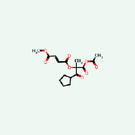 COC(=O)C=CC(=O)OC(C)(C(=O)OC(C)=O)C(=O)C1CCCC1